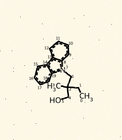 CCC(C)(CO)Cn1c2ccccc2c2ccccc21